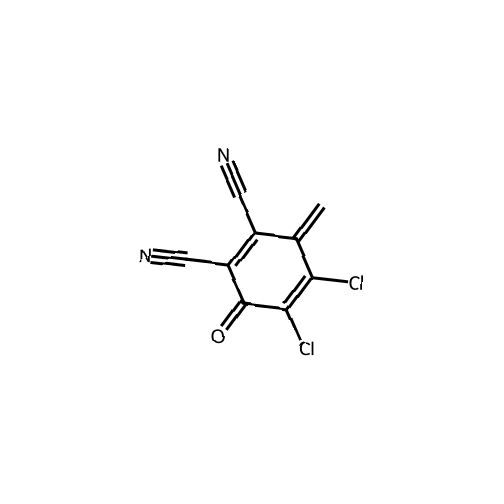 C=C1C(Cl)=C(Cl)C(=O)C(C#N)=C1C#N